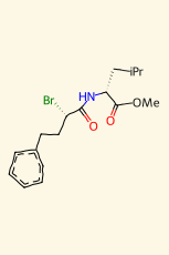 COC(=O)[C@@H](CC(C)C)NC(=O)[C@@H](Br)CCc1ccccc1